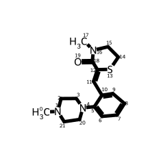 CN1CCN(c2ccccc2C=C2SCCN(C)C2=O)CC1